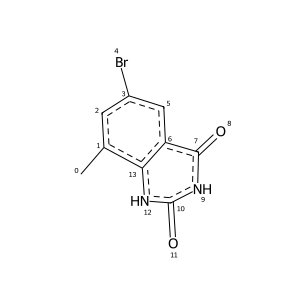 Cc1cc(Br)cc2c(=O)[nH]c(=O)[nH]c12